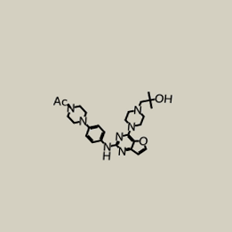 CC(=O)N1CCN(c2ccc(Nc3nc(N4CCN(CC(C)(C)O)CC4)c4occc4n3)cc2)CC1